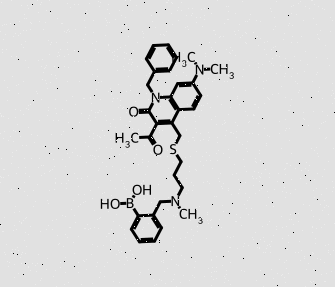 CC(=O)c1c(CSCCCN(C)Cc2ccccc2B(O)O)c2ccc(N(C)C)cc2n(Cc2ccccc2)c1=O